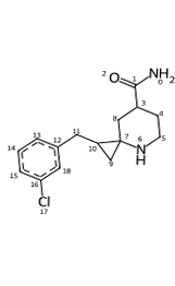 NC(=O)C1CCNC2(C1)CC2Cc1cccc(Cl)c1